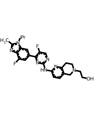 Cc1nc2c(F)cc(-c3nc(Nc4ccc5c(n4)CCN(CCO)C5)ncc3F)cc2n1C(C)C